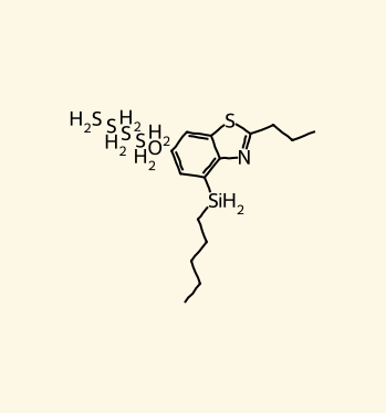 CCCCC[SiH2]c1cccc2sc(CCC)nc12.O.S.S.S.S